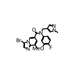 COc1cc(N(Cc2cnn(C)c2)C(=O)c2cc(C)c3ncc(Br)n3c2)ccc1F